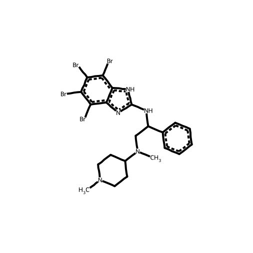 CN1CCC(N(C)CC(Nc2nc3c(Br)c(Br)c(Br)c(Br)c3[nH]2)c2ccccc2)CC1